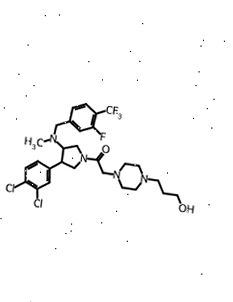 CN(Cc1ccc(C(F)(F)F)c(F)c1)C1CN(C(=O)CN2CCN(CCCO)CC2)CC1c1ccc(Cl)c(Cl)c1